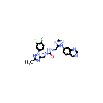 Cc1nc(CNC(=O)NCc2ncnn2-c2ccc3cncnc3c2)n(-c2ccc(Cl)c(F)c2)n1